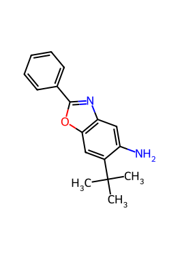 CC(C)(C)c1cc2oc(-c3ccccc3)nc2cc1N